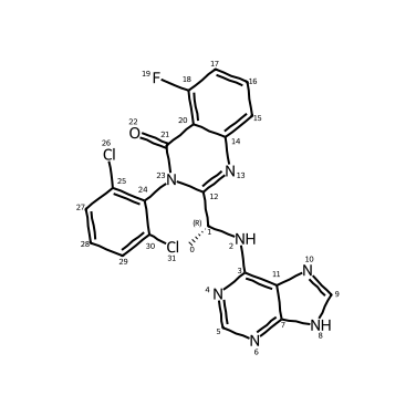 C[C@@H](Nc1ncnc2[nH]cnc12)c1nc2cccc(F)c2c(=O)n1-c1c(Cl)cccc1Cl